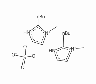 CCCCc1[nH]cc[n+]1C.CCCCc1[nH]cc[n+]1C.O=S(=O)([O-])[O-]